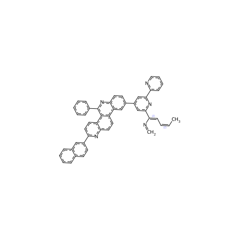 C=N/C(=C\C=C/C)c1cc(-c2ccc3nc(-c4ccccc4)c4c5ccc(-c6ccc7ccccc7c6)nc5ccc4c3c2)cc(-c2ccccn2)n1